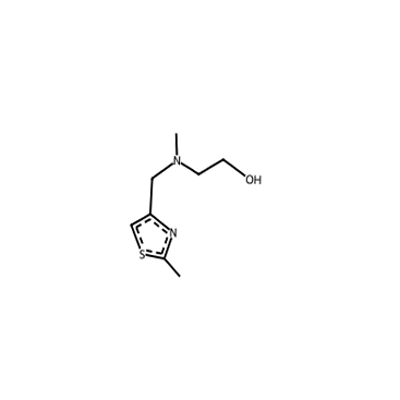 Cc1nc(CN(C)CCO)cs1